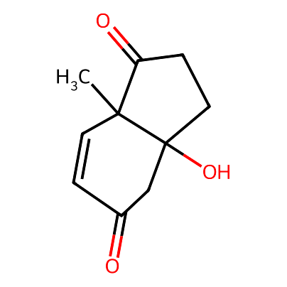 CC12C=CC(=O)CC1(O)CCC2=O